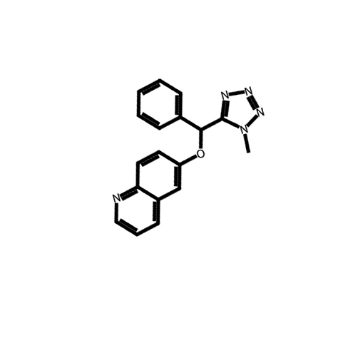 Cn1nnnc1C(Oc1ccc2ncccc2c1)c1ccccc1